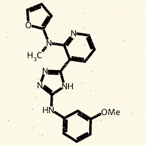 COc1cccc(Nc2nnc(-c3cccnc3N(C)c3ccco3)[nH]2)c1